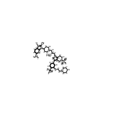 CN(C)c1ccc2c(n1)n(C1CCN(CC(O)Cn3nc(-c4ccc(C(F)(F)F)c(SCCN5CCCCC5)c4)c4c3CCN(S(C)(=O)=O)C4)CC1)c(=O)n2C